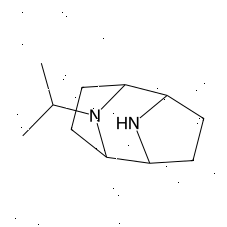 CC(C)N1C2CCC1C1CCC2N1